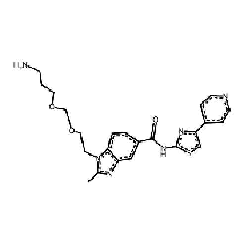 Cc1nc2cc(C(=O)Nc3nc(-c4ccncc4)cs3)ccc2n1CCOCOCCCN